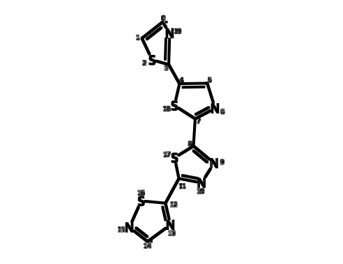 [c]1csc(-c2cnc(-c3nnc(-c4n[c]ns4)s3)s2)n1